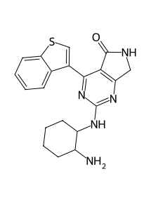 NC1CCCCC1Nc1nc2c(c(-c3csc4ccccc34)n1)C(=O)NC2